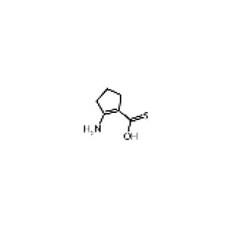 NC1=C(C(O)=S)CCC1